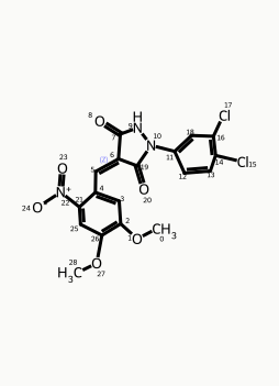 COc1cc(/C=C2/C(=O)NN(c3ccc(Cl)c(Cl)c3)C2=O)c([N+](=O)[O-])cc1OC